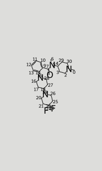 CN1CCC(N(C)C(=O)c2ccccc2N2CCC(N3CCC(F)(F)CC3)CC2)CC1